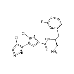 NC[C@H](Cc1cccc(F)c1)NC(=O)c1cc(-c2[nH]ncc2Cl)c(Cl)s1